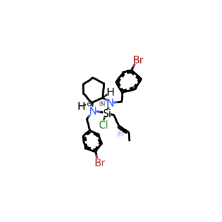 C/C=C/C[Si]1(Cl)N(Cc2ccc(Br)cc2)[C@H]2CCCC[C@@H]2N1Cc1ccc(Br)cc1